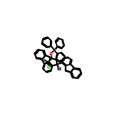 CCC(C[CH](O[Si](c1ccccc1)(c1ccccc1)c1ccccc1)[Zr]([Cl])[Cl])(c1cccc2c1Cc1ccccc1-2)c1cccc2c1Cc1ccccc1-2